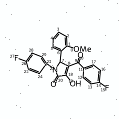 COc1ccccc1C1C(C(=O)c2ccc(F)cc2)=C(O)C(=O)N1c1ccc(F)cc1